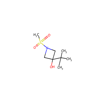 CC(C)(C)C1(O)CN(S(C)(=O)=O)C1